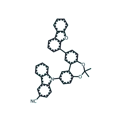 CC1(C)Oc2ccc(-c3cccc4c3oc3ccccc34)cc2-c2cc(-n3c4ccccc4c4cc(C#N)ccc43)ccc2O1